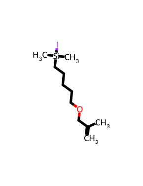 C=C(C)COCCCCC[Si](C)(C)I